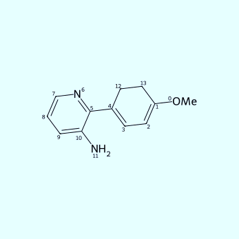 COC1=CC=C(c2ncccc2N)CC1